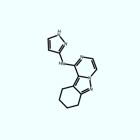 c1cn2nc3c(c2c(Nc2cc[nH]n2)n1)CCCC3